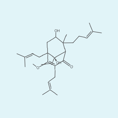 COC1=C(CC=C(C)C)C(=O)C2C(C)(CCC=C(C)C)C(O)CC1(CC=C(C)C)[C@@]2(O)OC